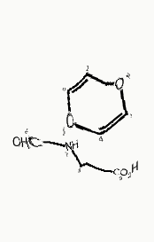 C1=COC=CO1.O=CNCC(=O)O